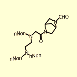 CCCCCCCCCN(CCCCCCCCC)CCN(CCCCCCCCC)CC(=O)N1CC2CC1CN2C=O